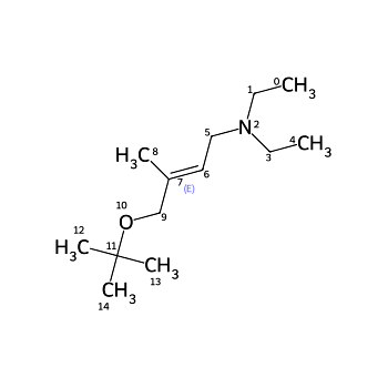 CCN(CC)C/C=C(\C)COC(C)(C)C